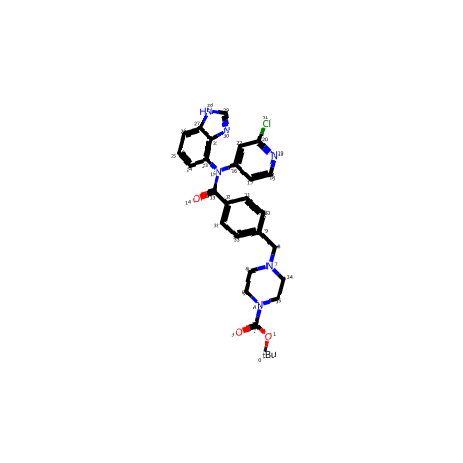 CC(C)(C)OC(=O)N1CCN(Cc2ccc(C(=O)N(c3ccnc(Cl)c3)c3cccc4[nH]cnc34)cc2)CC1